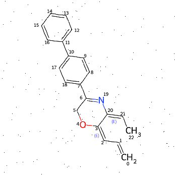 C=C/C=C1/OCC(c2ccc(-c3ccccc3)cc2)=N/C1=C/C